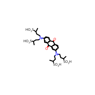 CC(CCN(CCC(C)S(=O)(=O)O)c1ccc2c(c1)C(=O)c1cc(N(CCC(C)S(=O)(=O)O)CCC(C)S(=O)(=O)O)ccc1C2=O)S(=O)(=O)O